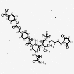 CC(C)C(N[C@@H](CCCCCN1C(=O)C=CC1=O)C(F)(F)F)C(=O)N[C@@H](CCCNC(N)=O)C(=O)Nc1ccc(COC(=O)Oc2ccc([N+](=O)[O-])cc2)cc1